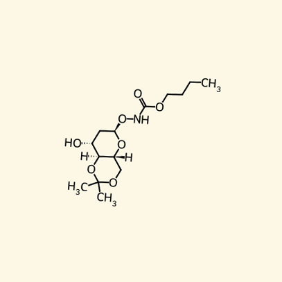 CCCCOC(=O)NO[C@@H]1C[C@@H](O)[C@@H]2OC(C)(C)OC[C@H]2O1